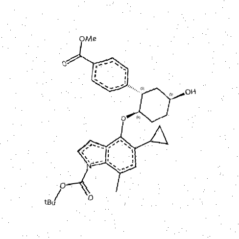 COC(=O)c1ccc([C@@H]2C[C@@H](O)CC[C@H]2Oc2c(C3CC3)cc(C)c3c2ccn3C(=O)OC(C)(C)C)cc1